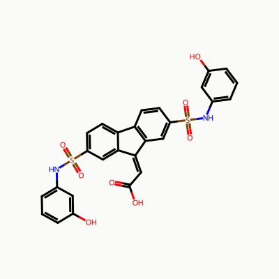 O=C(O)C=C1c2cc(S(=O)(=O)Nc3cccc(O)c3)ccc2-c2ccc(S(=O)(=O)Nc3cccc(O)c3)cc21